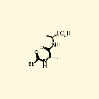 CCC(=O)N[C@@H](C)C(=O)N[C@@H](C)C(=O)O